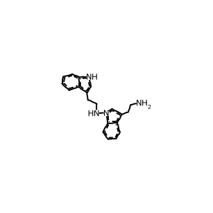 NCCc1cn(NCCc2c[nH]c3ccccc23)c2ccccc12